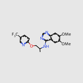 COc1cc2ncnc(NC(C)COc3ccc(C(F)(F)F)cn3)c2cc1OC